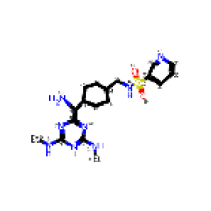 CCNc1nc(NCC)nc(C(N)C2CCC(CNS(=O)(=O)c3cccnc3)CC2)n1